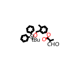 Cc1ccc(OC(=O)C(C)C=O)cc1CO[Si](c1ccccc1)(c1ccccc1)C(C)(C)C